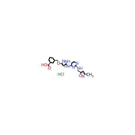 Cc1cc(CNc2nccc(Nc3cc(OCc4cccc(C(=O)O)c4)n[nH]3)n2)on1.Cl